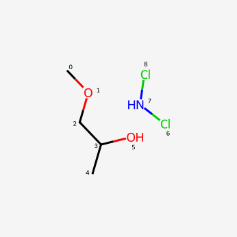 COCC(C)O.ClNCl